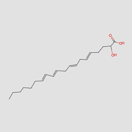 CCCCCCC=CC=CCC=CCC=CCCC(O)C(=O)O